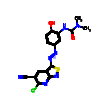 CN(C)C(=O)Nc1cc(/N=N/c2snc3nc(Cl)c(C#N)cc23)ccc1O